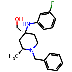 C[C@H]1C[C@@](CO)(Nc2cccc(F)c2)CCN1Cc1ccccc1